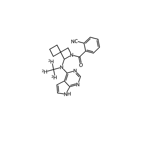 [2H]C([2H])([2H])N(c1ncnc2[nH]ccc12)C1N(C(=O)c2ccccc2C#N)CC12CCC2